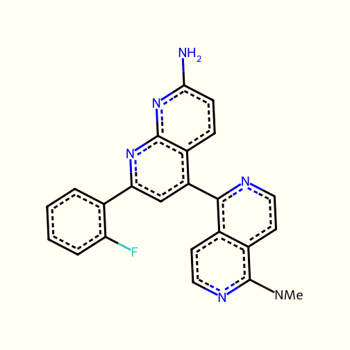 CNc1nccc2c(-c3cc(-c4ccccc4F)nc4nc(N)ccc34)nccc12